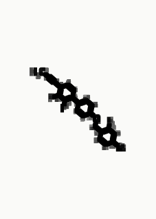 CC#Cc1ccc(-c2ccc(OCc3ccc(CC)cc3F)cc2)c(F)c1F